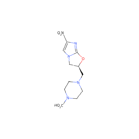 O=C(O)N1CCN(C[C@H]2Cn3cc([N+](=O)[O-])nc3O2)CC1